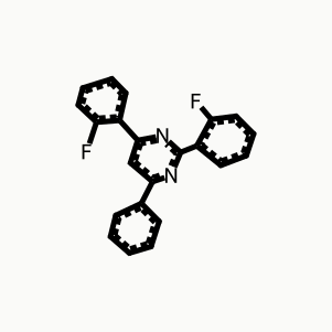 Fc1ccccc1-c1cc(-c2ccccc2)nc(-c2ccccc2F)n1